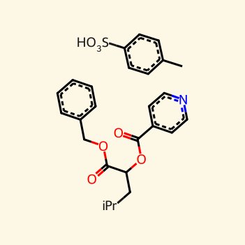 CC(C)CC(OC(=O)c1ccncc1)C(=O)OCc1ccccc1.Cc1ccc(S(=O)(=O)O)cc1